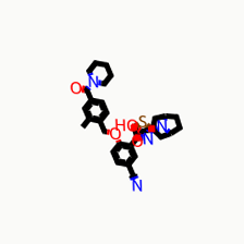 Cc1cc(C(=O)N2CCCCC2)ccc1COc1ccc(C#N)cc1-c1csc(N2C3CCC2CC(C(=O)O)C3)n1